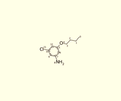 CCCCOc1cc(N)cc(Cl)c1